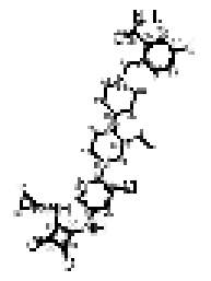 CC[C@H]1CN(c2ncc(Nc3c(NC4CC4)c(=O)c3=O)cc2Cl)CCN1C1CCN(Cc2ccc(Cl)cc2C(N)=O)CC1